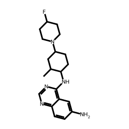 CC1CC(N2CCC(F)CC2)CCC1Nc1ncnc2ccc(N)cc12